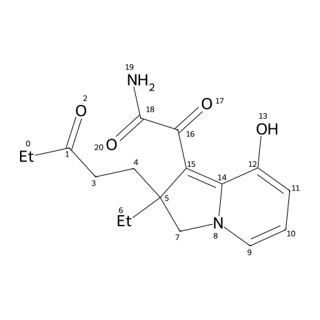 CCC(=O)CCC1(CC)CN2C=CC=C(O)C2=C1C(=O)C(N)=O